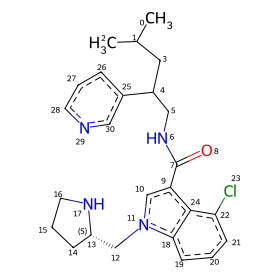 CC(C)CC(CNC(=O)c1cn(C[C@@H]2CCCN2)c2cccc(Cl)c12)c1cccnc1